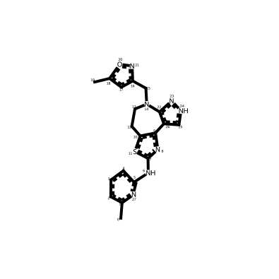 Cc1cccc(Nc2nc3c(s2)CCN(Cc2cc(C)on2)c2n[nH]cc2-3)n1